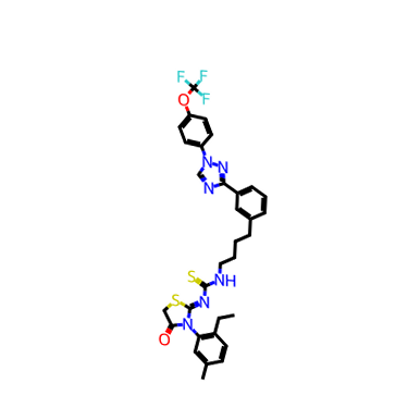 CCc1ccc(C)cc1N1C(=O)CS/C1=N\C(=S)NCCCCc1cccc(-c2ncn(-c3ccc(OC(F)(F)F)cc3)n2)c1